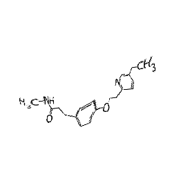 CCc1ccc(CCOc2ccc(CCC(=O)NC)cc2)nc1